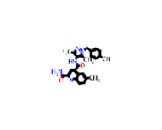 Cc1ccc2nc(C(N)=O)cc(C(=O)Nc3c(C(F)(F)F)nn(Cc4ccc(C#N)cc4)c3C)c2c1